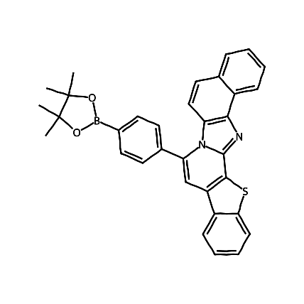 CC1(C)OB(c2ccc(-c3cc4c5ccccc5sc4c4nc5c6ccccc6ccc5n34)cc2)OC1(C)C